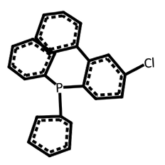 Clc1ccc(P(c2ccccc2)c2ccccc2)c(-c2ccccc2)c1